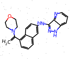 C=C(c1cccc2cc(Nc3n[nH]c4cccnc34)ccc12)N1CCOCC1